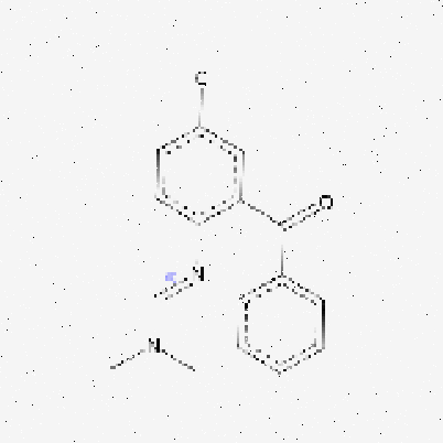 CN(C)/C=N/c1ccc(Cl)cc1C(=O)c1ccccc1